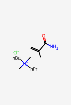 C=C(C)C(N)=O.CCCC[N+](C)(C)CCC.[Cl-]